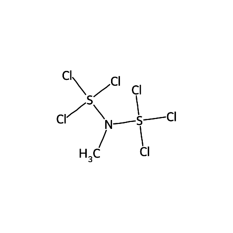 CN(S(Cl)(Cl)Cl)S(Cl)(Cl)Cl